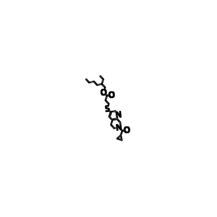 CCCCC(CC)COC(=O)CCSc1cnc2c(c1)CCN(C(=O)C1CC1)C2